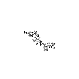 CC(C)Nc1cc(-n2ncc3cc(C#N)cnc32)ncc1-c1cn(C[C@@H]2CCCN2C(=O)OC(C)(C)C)nn1